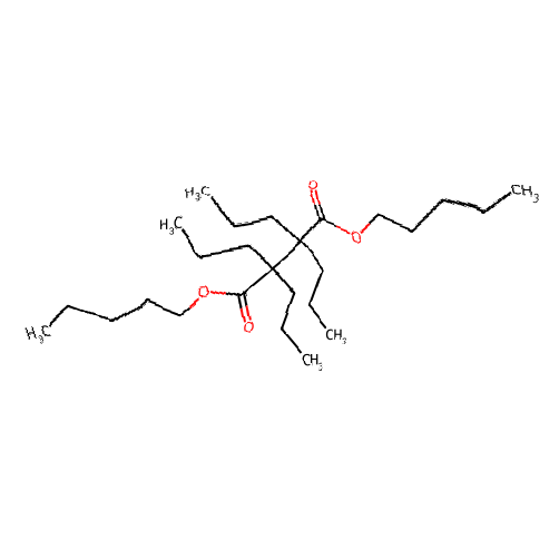 CCCCCOC(=O)C(CCC)(CCC)C(CCC)(CCC)C(=O)OCCCCC